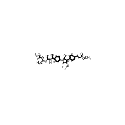 COC(=O)CCc1ccc(C2=C(OC)CN(c3ccc(C(=N)NC(=O)OC(C)OC(C)=O)cc3)C2=O)cc1